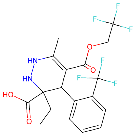 CCC1(C(=O)O)NNC(C)=C(C(=O)OCC(F)(F)F)C1c1ccccc1C(F)(F)F